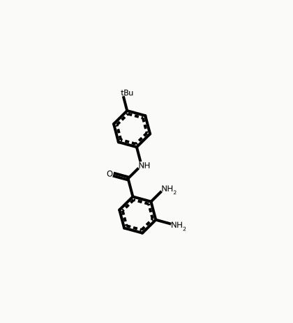 CC(C)(C)c1ccc(NC(=O)c2cccc(N)c2N)cc1